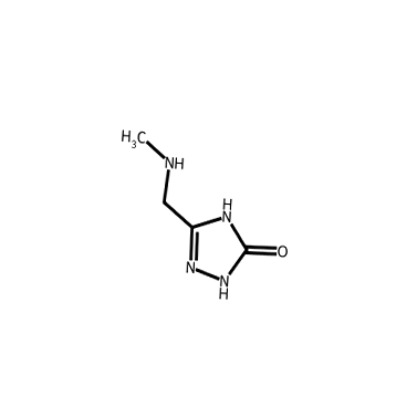 CNCc1n[nH]c(=O)[nH]1